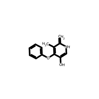 C=C1NC=C(O)C(Oc2ccccc2)=C1C